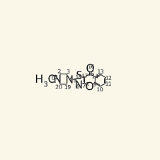 CN1CCN(c2nc3oc4ccccc4c(=O)c3s2)CC1